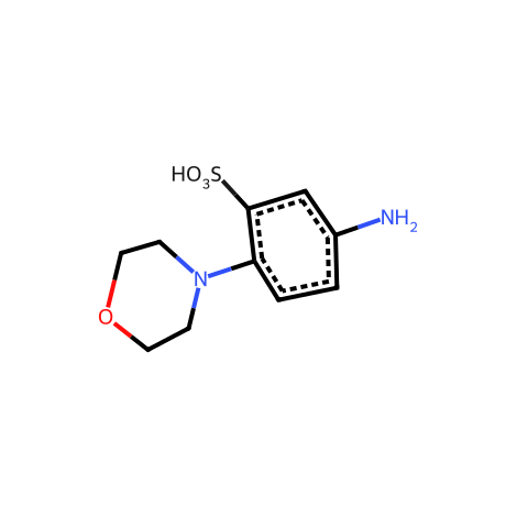 Nc1ccc(N2CCOCC2)c(S(=O)(=O)O)c1